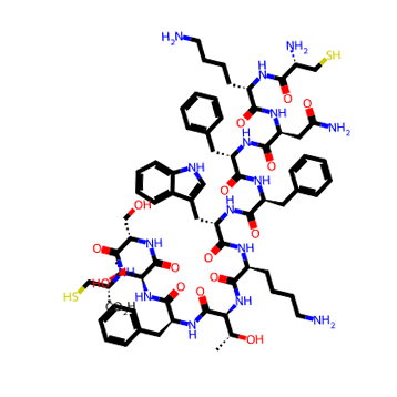 C[C@@H](O)[C@H](NC(=O)[C@H](Cc1ccccc1)NC(=O)[C@@H](NC(=O)[C@H](CCCCN)NC(=O)[C@H](Cc1c[nH]c2ccccc12)NC(=O)[C@H](Cc1ccccc1)NC(=O)[C@H](Cc1ccccc1)NC(=O)[C@H](CC(N)=O)NC(=O)[C@H](CCCCN)NC(=O)[C@H](N)CS)[C@@H](C)O)C(=O)N[C@@H](CO)C(=O)N[C@@H](CS)C(=O)O